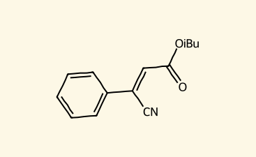 CC(C)COC(=O)C=C(C#N)c1ccccc1